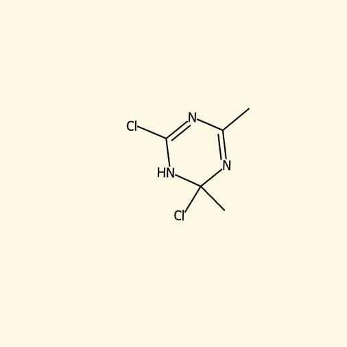 CC1=NC(C)(Cl)NC(Cl)=N1